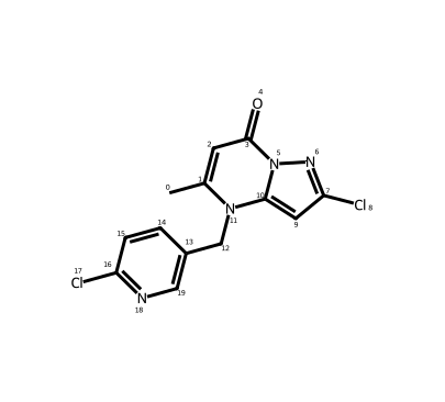 Cc1cc(=O)n2nc(Cl)cc2n1Cc1ccc(Cl)nc1